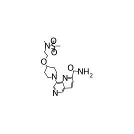 CN(CCOC1CCN(c2cncc3ccc(C(N)=O)nc23)CC1)S(C)(=O)=O